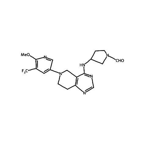 COc1ncc(N2CCc3ncnc(NC4CCN(C=O)C4)c3C2)cc1C(F)(F)F